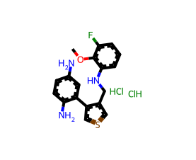 COc1c(F)cccc1NCc1cscc1-c1cc(N)ccc1N.Cl.Cl